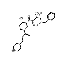 CO[C@H](Cc1ccccc1)C[C@H](NC(=O)[C@@H]1CCCN(C(=O)CCC2CCNCC2)C1)C(=O)O.Cl